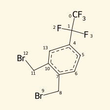 FC(F)(F)C(F)(F)c1ccc(CBr)c(CBr)c1